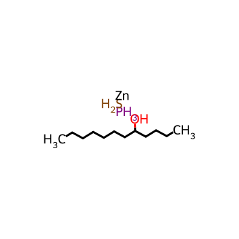 CCCCCCCC(O)CCCC.P.S.[Zn]